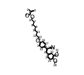 C=C(C)C(=O)OCCCCCCCCOc1ccc(C(C#N)=Cc2ccc(OC)c(OC)c2)cc1